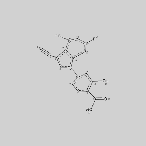 N#Cc1cc(-c2ccc(C(=O)O)c(O)c2)n2cc(F)cc(F)c12